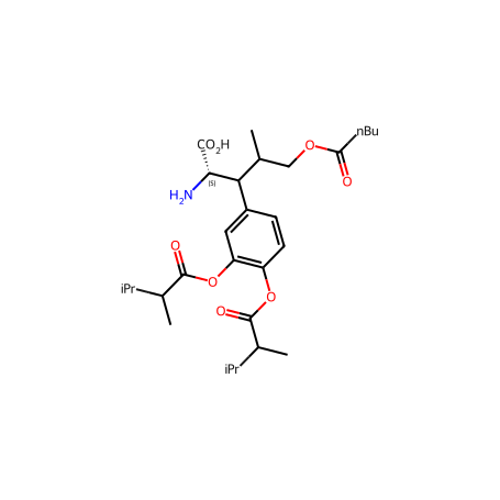 CCCCC(=O)OCC(C)C(c1ccc(OC(=O)C(C)C(C)C)c(OC(=O)C(C)C(C)C)c1)[C@H](N)C(=O)O